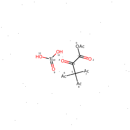 CC(=O)OC(=O)C(=O)C(C(C)=O)(C(C)=O)C(C)=O.[O]=[Ti]([OH])[OH]